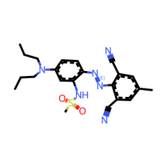 CCCN(CCC)c1ccc(/N=N/c2c(C#N)cc(C)cc2C#N)c(NS(C)(=O)=O)c1